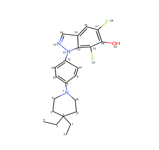 CCC1(CC)CCN(c2ccc(-n3ncc4cc(F)c(O)c(F)c43)cc2)CC1